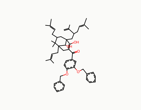 C=C(C)C(CC=C(C)C)CC12CC(CC=C(C)C)C(C)(C)C(CC=C(C)C)(CC(C(=O)c3ccc(OCc4ccccc4)c(OCc4ccccc4)c3)=C1O)C2O